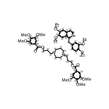 CCOc1ccc(Cc2nccc3cc(OCC)c(OCC)cc23)cc1OCC.COc1cc(C(=O)OCCCN2CCCN(CCCOC(=O)c3cc(OC)c(OC)c(OC)c3)CC2)cc(OC)c1OC